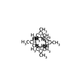 CC1=CC(C)C(c2c3nc(c(C4C(C)=CC(C)=CC4C)c4ccc([nH]4)c(C4C(C)=CC(C)=CC4C)c4nc(c(C5C(C)=CC(C)=CC5C)c5ccc2[nH]5)C=C4)C=C3)C(C)=C1